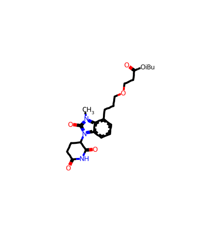 CC(C)COC(=O)CCOCCCc1cccc2c1n(C)c(=O)n2C1CCC(=O)NC1=O